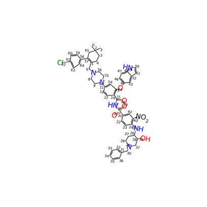 CC1(C)CCC(CN2CCN(c3ccc(C(=O)NS(=O)(=O)c4ccc(NC5CCN(Cc6ccccc6)CC5O)c([N+](=O)[O-])c4)c(Oc4ccc5[nH]ccc5c4)c3)CC2)=C(c2ccc(Cl)cc2)C1